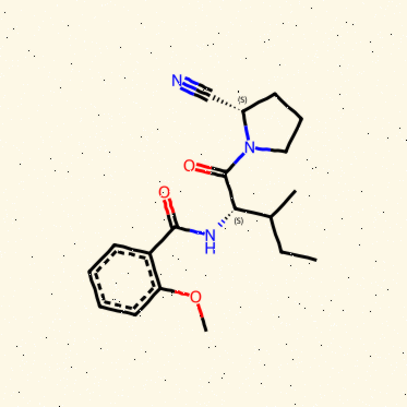 CCC(C)[C@H](NC(=O)c1ccccc1OC)C(=O)N1CCC[C@H]1C#N